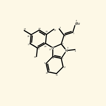 CCC(C)/C=C(\C)C1N(C)C2=C(C=CCC2)N1c1c(C)cc(C)cc1C